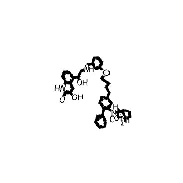 O=C(O)N(c1cc(CCCCOc2cccc(CNC[C@H](O)c3cccc4[nH]c(=O)c(O)cc34)c2)ccc1-c1ccccc1)[C@H]1CN2CCC1CC2